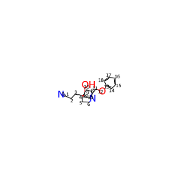 N#CCCC12CCN(CC1)C(COc1ccccc1)C2O